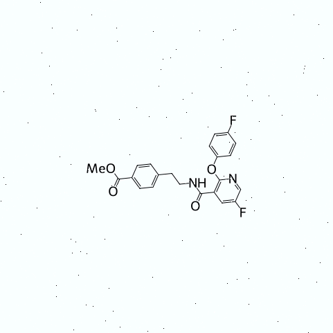 COC(=O)c1ccc(CCNC(=O)c2cc(F)cnc2Oc2ccc(F)cc2)cc1